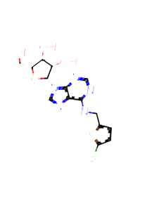 OC[C@H]1O[C@@H](n2cnc3c(NCc4ccc(Br)s4)ncnc32)[C@H](O)[C@@H]1O